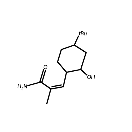 CC(=CC1CCC(C(C)(C)C)CC1O)C(N)=O